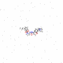 O=C(C[C@@H]1CCCN1S(=O)(=O)c1cccc(C(F)(F)F)c1)N[C@@H]1CCOc2cc(CN3C4CCC3CC4)ccc21